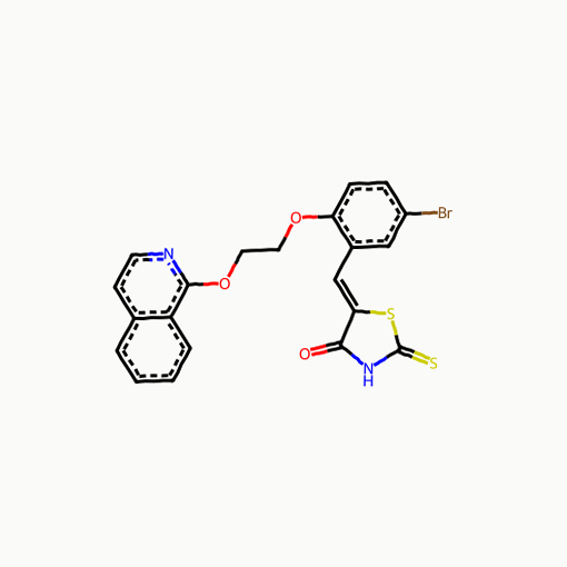 O=C1NC(=S)SC1=Cc1cc(Br)ccc1OCCOc1nccc2ccccc12